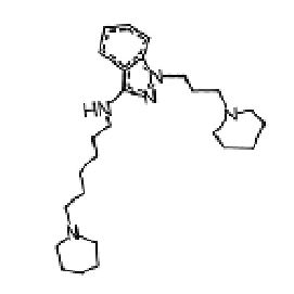 c1ccc2c(c1)c(NCCCCCCN1CCCCC1)nn2CCCN1CCCCC1